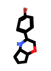 Brc1ccc(C2COC3CCCC3N2)cc1